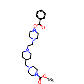 CC(C)(C)OC(=O)N1CCN(CC2CCN(CCN3CCN(OC(=O)c4ccccc4)CC3)CC2)CC1